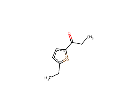 CCC(=O)c1ccc(CC)s1